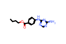 CCCCOC(=O)c1ccc(Nc2ncnc(N)n2)cc1